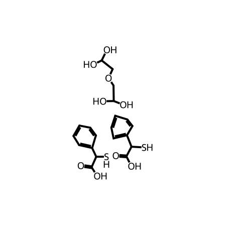 O=C(O)C(S)c1ccccc1.O=C(O)C(S)c1ccccc1.OC(O)COCC(O)O